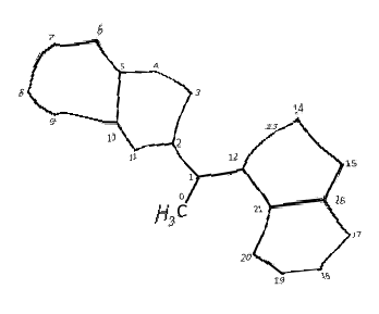 CC(C1CCC2CCCCC2C1)C1CCCC2CCCCC21